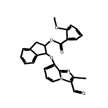 COc1ccccc1C(=O)OC1Cc2ccccc2C1Oc1cccn2c(C=O)c(C)nc12